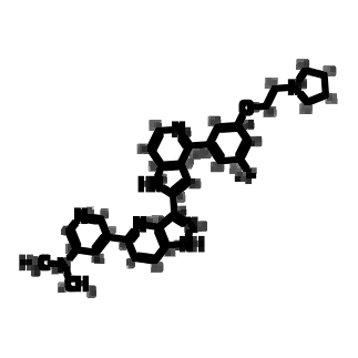 CN(C)c1cncc(-c2ccc3[nH]nc(-c4cc5c(-c6cc(F)cc(OCCN7CCCC7)c6)nccc5[nH]4)c3n2)c1